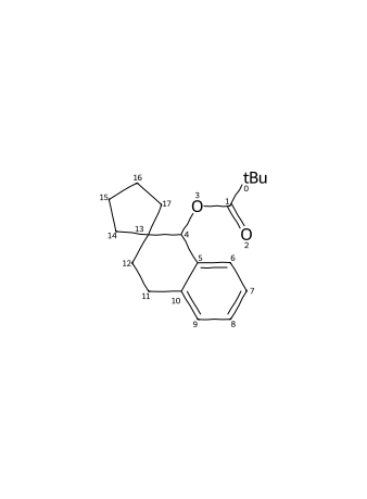 CC(C)(C)C(=O)OC1c2ccccc2CCC12CCCC2